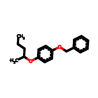 [CH2]C(CCC)Oc1ccc(OCc2ccccc2)cc1